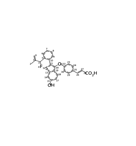 C=C(C)C(F)c1ccccc1-c1sc2cc(O)ccc2c1Oc1ccc(/C=C/C(=O)O)cc1